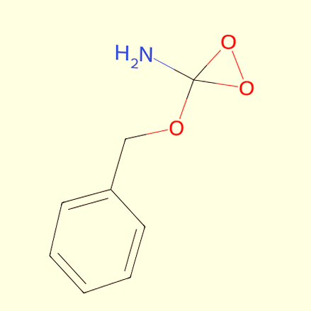 NC1(OCc2ccccc2)OO1